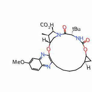 COc1ccc2nc3c(nc2c1)O[C@H]1CN(C(=O)[C@H](C(C)(C)C)NC(=O)OC2C[C@H]2CCCCC3)[C@H](C(=O)O)[C@@H]1C